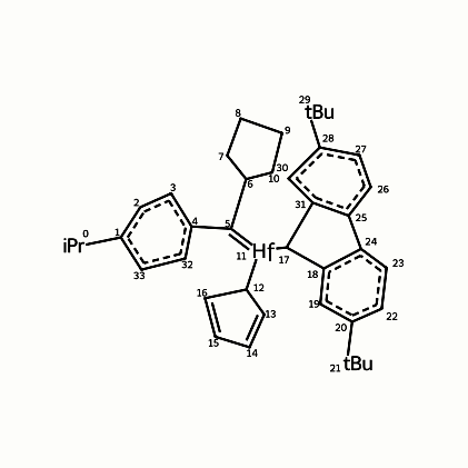 CC(C)c1ccc([C](C2CCCC2)=[Hf]([CH]2C=CC=C2)[CH]2c3cc(C(C)(C)C)ccc3-c3ccc(C(C)(C)C)cc32)cc1